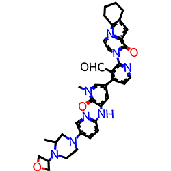 CC1CN(c2ccc(Nc3cc(-c4ccnc(-n5ccn6c7c(cc6c5=O)CCCC7)c4C=O)cn(C)c3=O)nc2)CCN1C1COC1